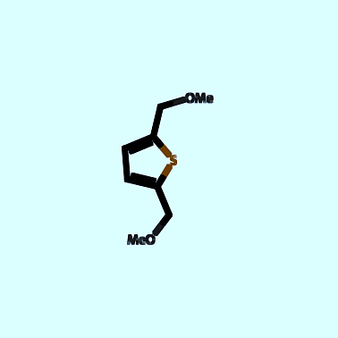 COCc1ccc(COC)s1